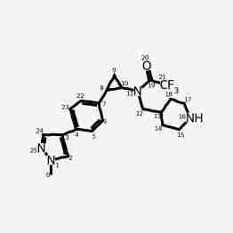 Cn1cc(-c2ccc(C3CC3N(CC3CCNCC3)C(=O)C(F)(F)F)cc2)cn1